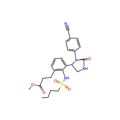 CCCCS(=O)(=O)Nc1c(CCC(=O)OC)cccc1C1CNC(=O)N1c1ccc(C#N)cc1